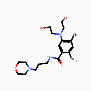 N#Cc1cc([N+](=O)[O-])c(C(=O)NCCCN2CCOCC2)cc1N(CCBr)CCBr